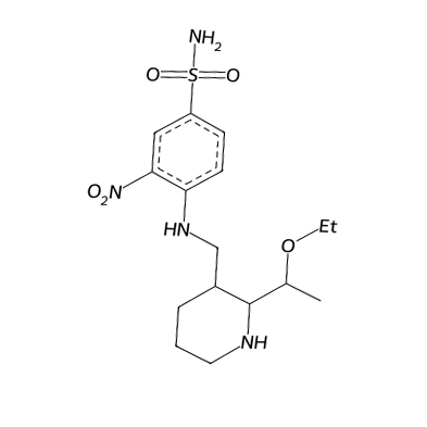 CCOC(C)C1NCCCC1CNc1ccc(S(N)(=O)=O)cc1[N+](=O)[O-]